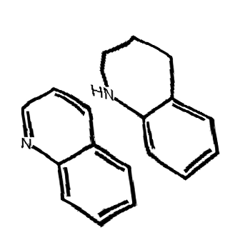 c1ccc2c(c1)CCCN2.c1ccc2ncccc2c1